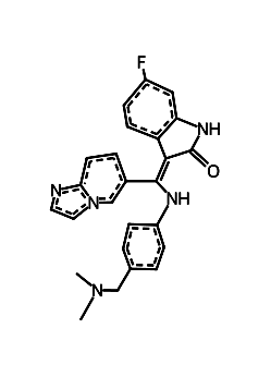 CN(C)Cc1ccc(N/C(=C2\C(=O)Nc3cc(F)ccc32)c2ccc3nccn3c2)cc1